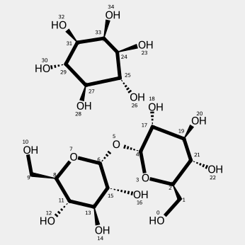 OC[C@H]1O[C@H](O[C@H]2O[C@H](CO)[C@@H](O)[C@H](O)[C@H]2O)[C@H](O)[C@@H](O)[C@@H]1O.O[C@H]1[C@H](O)[C@@H](O)[C@H](O)[C@@H](O)[C@H]1O